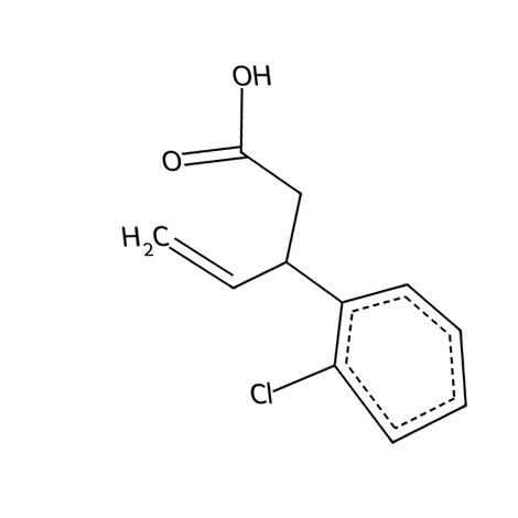 C=CC(CC(=O)O)c1ccccc1Cl